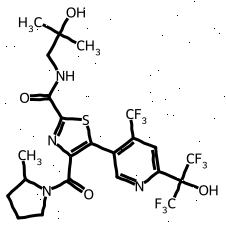 CC1CCCN1C(=O)c1nc(C(=O)NCC(C)(C)O)sc1-c1cnc(C(O)(C(F)(F)F)C(F)(F)F)cc1C(F)(F)F